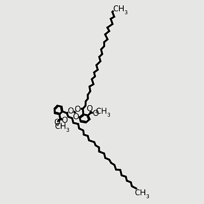 CCCCCCCCCCCCCCCCCCCCCCCCCCCC(OC(=O)OC(CCCCCCCCCCCCCCCCCCCCCCCCCCC)c1ccccc1C(=O)OC)c1ccccc1C(=O)OC